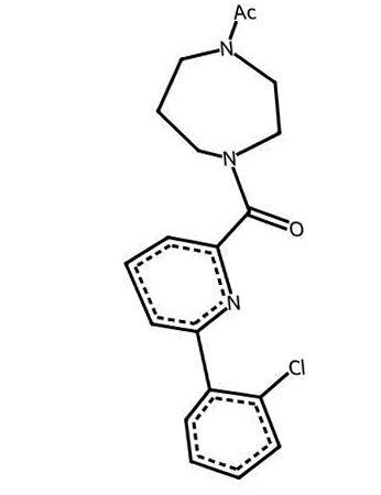 CC(=O)N1CCCN(C(=O)c2cccc(-c3ccccc3Cl)n2)CC1